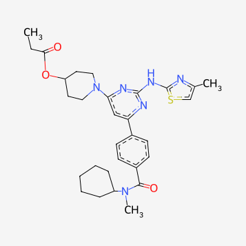 CCC(=O)OC1CCN(c2cc(-c3ccc(C(=O)N(C)C4CCCCC4)cc3)nc(Nc3nc(C)cs3)n2)CC1